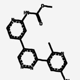 COC(=O)Nc1cc(-c2cnnc(-c3cc(N)cnc3C)c2)ccn1